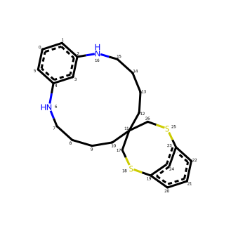 c1cc2cc(c1)NCCCCC1(CCCCN2)CSc2cccc(c2)SC1